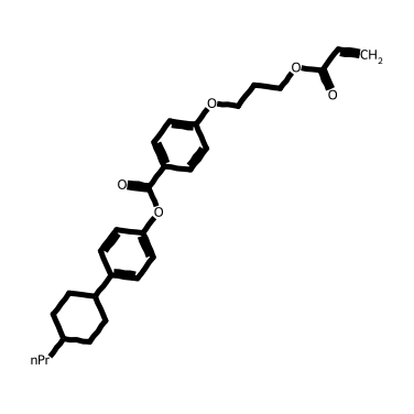 C=CC(=O)OCCCOc1ccc(C(=O)Oc2ccc(C3CCC(CCC)CC3)cc2)cc1